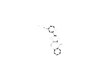 CCCCOc1ccnc(C(=O)NC2COc3ccccc3N(C)C2=O)c1